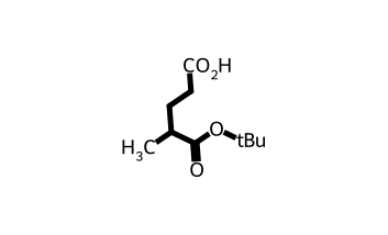 CC(CCC(=O)O)C(=O)OC(C)(C)C